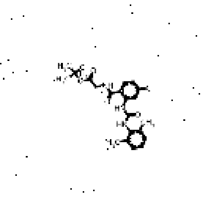 Cc1cccc(C)c1NC(=O)Nc1cc(Cl)ccc1C(=O)NCC(=O)OC(C)(C)C